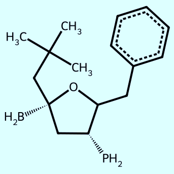 B[C@@]1(CC(C)(C)C)C[C@@H](P)C(Cc2ccccc2)O1